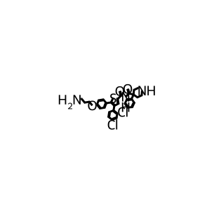 NCCCOc1ccc(-c2sc(C(=O)NC(=O)C3(c4ccccc4)CCNCC3)cc2-c2ccc(Cl)cc2Cl)cc1